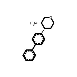 N[C@@H]1COCC[C@@H]1c1ccc(-c2ccccc2)cc1